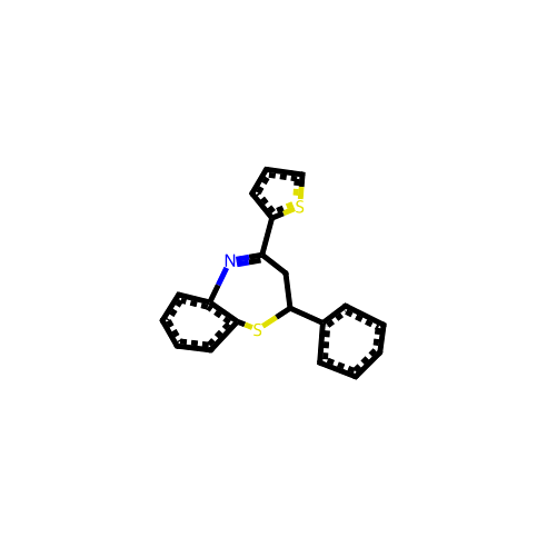 c1ccc(C2CC(c3cccs3)=Nc3ccccc3S2)cc1